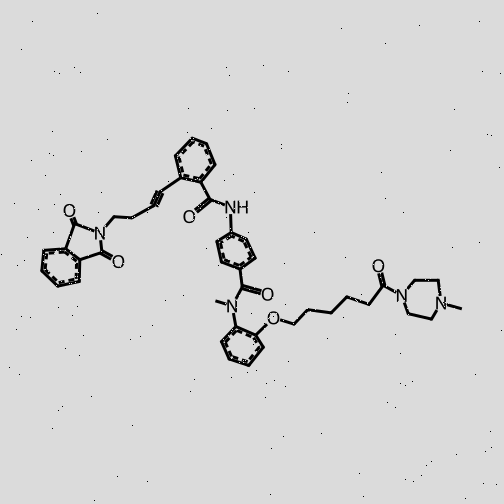 CN1CCN(C(=O)CCCCCOc2ccccc2N(C)C(=O)c2ccc(NC(=O)c3ccccc3C#CCCN3C(=O)c4ccccc4C3=O)cc2)CC1